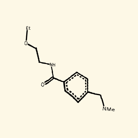 CCOCCNC(=O)c1ccc(CNC)cc1